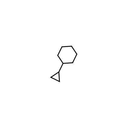 C1CCC([C]2CC2)CC1